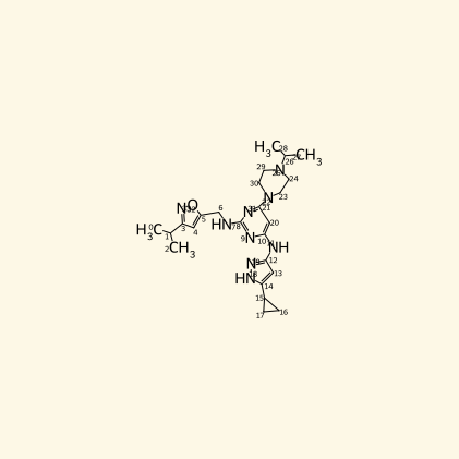 CC(C)c1cc(CNc2nc(Nc3cc(C4CC4)[nH]n3)cc(N3CCN(C(C)C)CC3)n2)on1